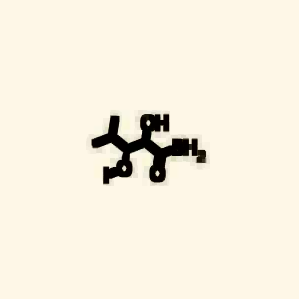 BC(=O)C(O)[C@@H](OI)C(C)C